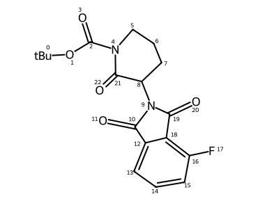 CC(C)(C)OC(=O)N1CCCC(N2C(=O)c3cccc(F)c3C2=O)C1=O